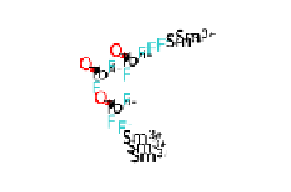 [F-].[F-].[F-].[O]=[Tb-4]([F])[F].[O]=[Tb-4]([F])[F].[O]=[Tb-4]([F])[F].[Sm+3].[Sm+3].[Sm+3].[Sm+3].[Sm+3]